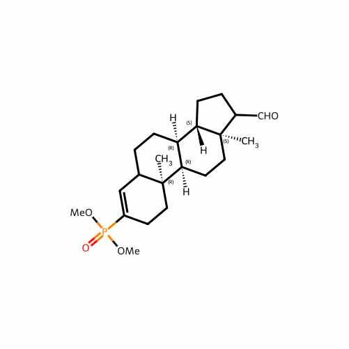 COP(=O)(OC)C1=CC2CC[C@@H]3[C@@H](CC[C@]4(C)C(C=O)CC[C@@H]34)[C@@]2(C)CC1